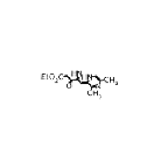 CCOC(=O)CC(=O)C(=N)/C=C1\NC=C(C)N=C1C